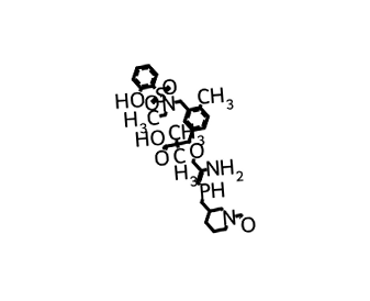 CCN(Cc1cc(C(OC/C(N)=C/PCC2CCCN(C=O)C2)C(C)(C)C(=O)O)ccc1C)S(=O)(=O)c1ccccc1O